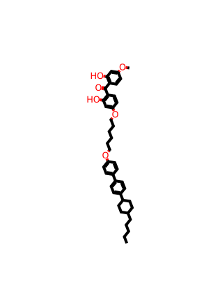 CCCCCC1CCC(c2ccc(-c3ccc(OCCCCCCOc4ccc(C(=O)c5ccc(OC)cc5O)c(O)c4)cc3)cc2)CC1